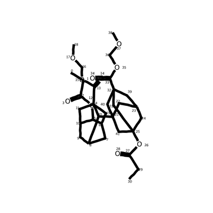 CCC(=O)OC1C2CC3CC1CC(C(=O)OCOC)(C2)C3C12CC3CC(OC(=O)CC)(CC(C(=O)OCOC)(C3)C1)C2